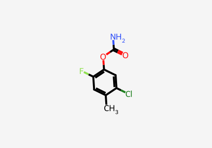 Cc1cc(F)c(OC(N)=O)cc1Cl